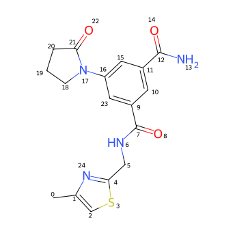 Cc1csc(CNC(=O)c2cc(C(N)=O)cc(N3CCCC3=O)c2)n1